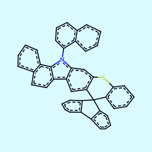 c1ccc2c(c1)Sc1cc3c(cc1C21c2ccccc2-c2ccccc21)c1ccc2ccccc2c1n3-c1cccc2ccccc12